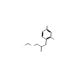 CC(C[SiH2]CN)Cc1ccc(F)cc1F